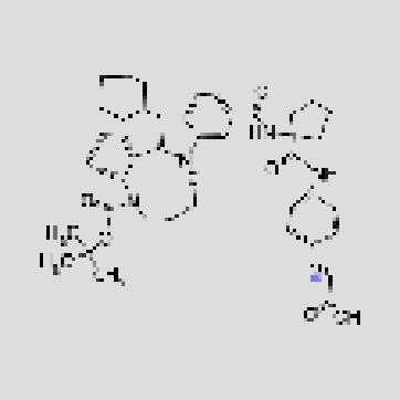 CC(C)(C)OC(=O)N1CCCCn2c(c(C3CCCCC3)c3ccc(C(=O)NC4(C(=O)Nc5ccc(/C=C/C(=O)O)cc5)CCCC4)cc32)-c2ccccc21